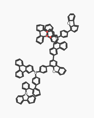 c1ccc(-c2ccccc2-n2c3ccccc3c3ccccc32)c(-c2ccc(N(c3ccc(-c4cc(-c5ccc6cc(N(c7ccc(-c8ccccc8-c8ccccc8-n8c9ccccc9c9ccccc98)cc7)c7ccc(-c8cccc9c8oc8ccccc89)cc7)c7ccccc7c6c5)cc5c4oc4ccccc45)cc3)c3ccc4c5ccccc5c5ccccc5c4c3)cc2)c1